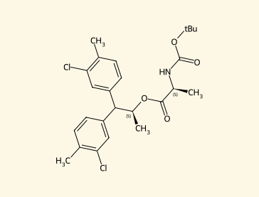 Cc1ccc(C(c2ccc(C)c(Cl)c2)[C@H](C)OC(=O)[C@H](C)NC(=O)OC(C)(C)C)cc1Cl